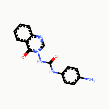 Nc1ccc(NC(=O)Nn2cnc3ccccc3c2=O)cc1